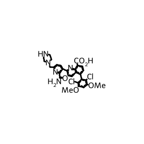 COc1cc(OC)c(Cl)c(-c2ccc(C(=O)O)c3nc(-c4ccc(CN5CCNCC5)nc4C(N)=O)ccc23)c1Cl